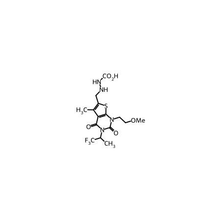 COCCn1c(=O)n(C(C)C(F)(F)F)c(=O)c2c(C)c(CNNC(=O)O)sc21